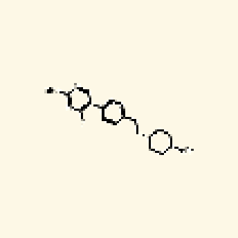 CCCCc1ncc(-c2ccc(CC[C@H]3CC[C@H](CCC)CC3)cc2)c(F)n1